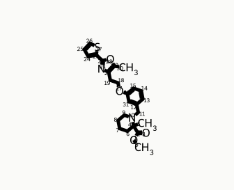 COC(=O)C1(C)CCCCN1Cc1cccc(OCCc2nc(-c3cccs3)oc2C)c1